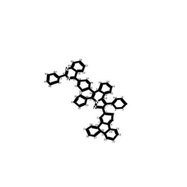 C1=CCCC(c2c(-c3ccc4c(c3)-c3ccccc3C3C=CC=CC43)nn3c(-c4ccccc4)c(-c4ccc(-c5nc(-c6ccccc6)nc6ccccc56)cc4)c4ccccc4c23)=C1